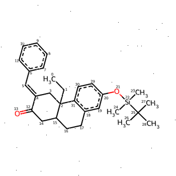 CCC12CC(=Cc3ccccc3)C(=O)CC1CCc1cc(O[Si](C)(C)C(C)(C)C)ccc12